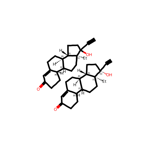 C#CC1(O)CC[C@H]2[C@@H]3CCC4=CC(=O)CC[C@@H]4[C@H]3CC[C@@]21CC.C#C[C@]1(O)CC[C@H]2[C@@H]3CCC4=CC(=O)CC[C@@H]4[C@H]3CC[C@@]21CC